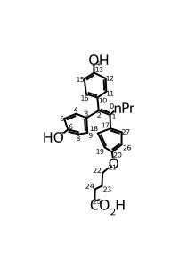 CCCC(=C(c1ccc(O)cc1)c1ccc(O)cc1)c1ccc(OCCCC(=O)O)cc1